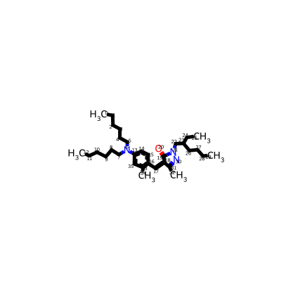 CCCCCCN(CCCCCC)c1ccc(C=C2C(=O)N(CC(CC)CCCC)N=C2C)c(C)c1